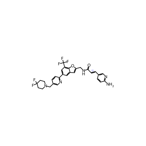 Nc1ccc(/C=C/C(=O)NCc2cc3cc(-c4ccc(CN5CCC(F)(F)CC5)cn4)cc(C(F)(F)F)c3o2)cn1